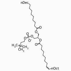 CCCCCCCC/C=C\CCCCCCCC(=O)O[C@H](COC(=O)CCCCCCCCCCCCCCCCCC)COP(=O)([O-])OCC[N+](C)(C)C